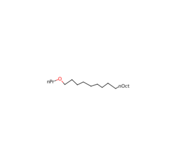 [CH2]CCOCCCCCCCCCCCCCCCCC